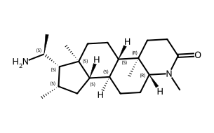 C[C@H](N)[C@H]1[C@@H](C)C[C@H]2[C@@H]3CC[C@H]4N(C)C(=O)CC[C@]4(C)[C@H]3CC[C@]12C